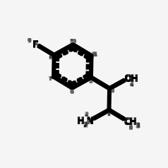 CC(N)C(O)c1ccc(F)cc1